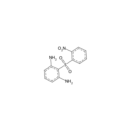 Nc1cccc(N)c1S(=O)(=O)c1ccccc1[N+](=O)[O-]